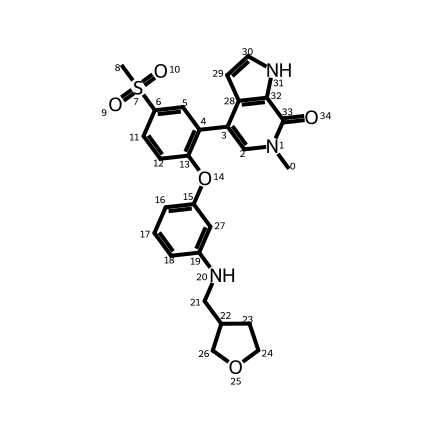 Cn1cc(-c2cc(S(C)(=O)=O)ccc2Oc2cccc(NCC3CCOC3)c2)c2cc[nH]c2c1=O